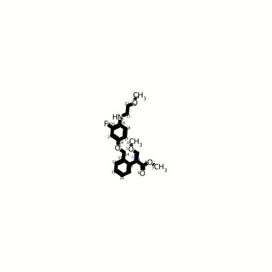 CO/C=C(/C(=O)OC)c1ccccc1COc1ccc(NCCOC)c(F)c1